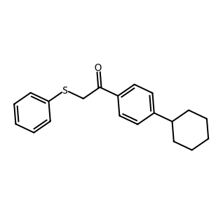 O=C(CSc1ccccc1)c1ccc(C2CCCCC2)cc1